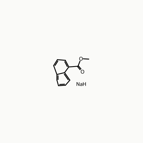 COC(=O)c1cccc2ccccc12.[NaH]